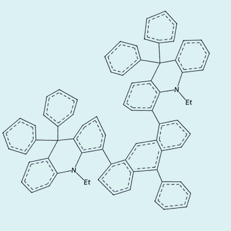 CCN1c2ccccc2C(c2ccccc2)(c2ccccc2)c2cccc(-c3cccc4c(-c5ccccc5)c5cccc(-c6cccc7c6N(CC)c6ccccc6C7(c6ccccc6)c6ccccc6)c5cc34)c21